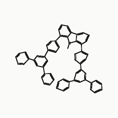 Cn1c2c(-c3ccc(-c4cc(-c5ccccc5)cc(-c5ccccc5)c4)cc3)cccc2c2cccc(-c3ccc(-c4cc(-c5ccccc5)cc(-c5ccccc5)c4)cc3)c21